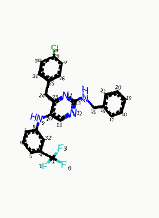 FC(F)(F)c1cccc(Nc2cnc(NCc3ccccc3)nc2Cc2ccc(Cl)cc2)c1